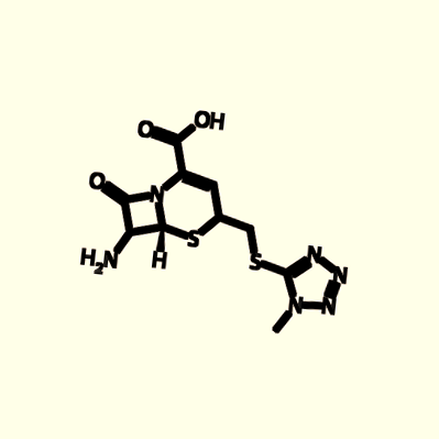 Cn1nnnc1SCC1C=C(C(=O)O)N2C(=O)C(N)[C@H]2S1